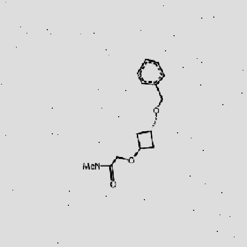 CNC(=O)CO[C@H]1C[C@H](COCc2ccccc2)C1